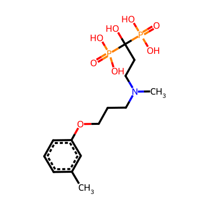 Cc1cccc(OCCCN(C)CCC(O)(P(=O)(O)O)P(=O)(O)O)c1